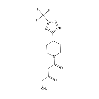 CCC(=O)CC(=O)N1CCC(c2nc(C(F)(F)F)c[nH]2)CC1